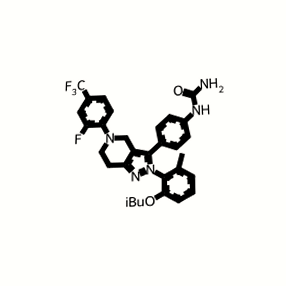 Cc1cccc(OCC(C)C)c1-n1nc2c(c1-c1ccc(NC(N)=O)cc1)CN(c1ccc(C(F)(F)F)cc1F)CC2